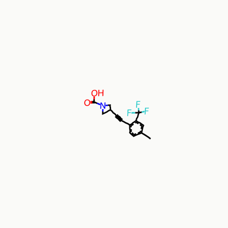 Cc1ccc(C#CC2CN(C(=O)O)C2)c(C(F)(F)F)c1